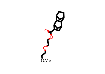 COCCOCCOC(=O)C1CC2CC1C1C3CCC(C3)C21